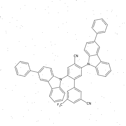 N#Cc1cc(-c2cc(-n3c4ccccc4c4cc(-c5ccccc5)ccc43)c(C#N)cc2-n2c3ccccc3c3cc(-c4ccccc4)ccc32)cc(C(F)(F)F)c1